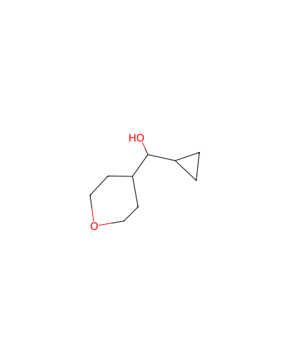 OC(C1CCOCC1)C1CC1